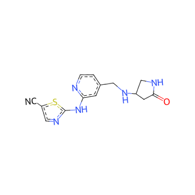 N#Cc1cnc(Nc2cc(CNC3CNC(=O)C3)ccn2)s1